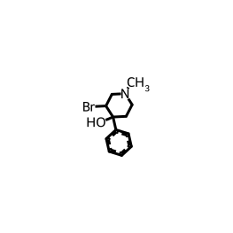 CN1CCC(O)(c2ccccc2)C(Br)C1